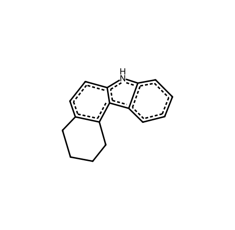 c1ccc2c(c1)[nH]c1ccc3c(c12)CCCC3